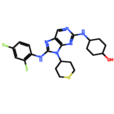 OC1CCC(Nc2ncc3nc(Nc4ccc(F)cc4F)n(C4CCSCC4)c3n2)CC1